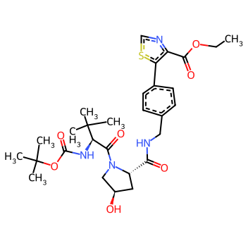 CCOC(=O)c1ncsc1-c1ccc(CNC(=O)[C@@H]2C[C@@H](O)CN2C(=O)[C@@H](NC(=O)OC(C)(C)C)C(C)(C)C)cc1